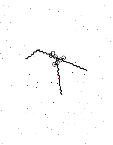 CCCCCCCC/C=C\CCCCCCCC(=O)COC(COC(=O)CCCCCCCCCCCCCCC)COC(=O)CCCCCCCCCCCCCCCCC